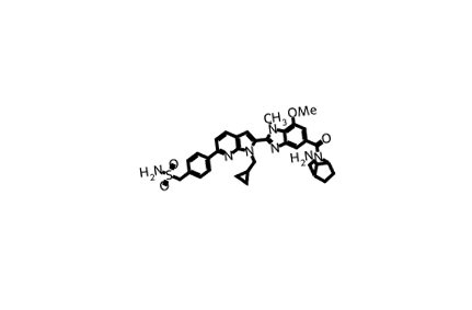 COc1cc(C(=O)N2CC3CCC2C3N)cc2nc(-c3cc4ccc(-c5ccc(CS(N)(=O)=O)cc5)nc4n3CC3CC3)n(C)c12